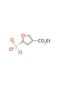 CCOC(=O)c1coc(S(=O)(=O)Cl)c1